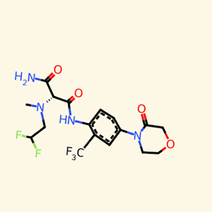 CN(CC(F)F)[C@H](C(N)=O)C(=O)Nc1ccc(N2CCOCC2=O)cc1C(F)(F)F